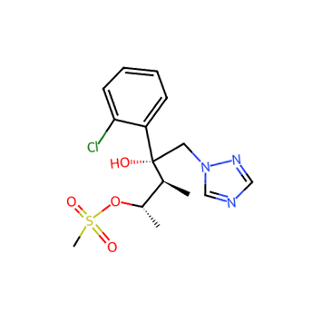 C[C@H](OS(C)(=O)=O)[C@H](C)[C@](O)(Cn1cncn1)c1ccccc1Cl